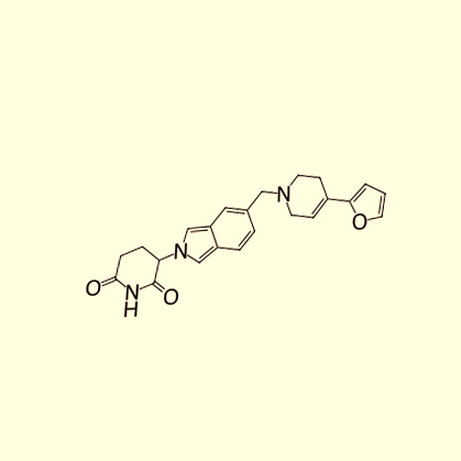 O=C1CCC(n2cc3ccc(CN4CC=C(c5ccco5)CC4)cc3c2)C(=O)N1